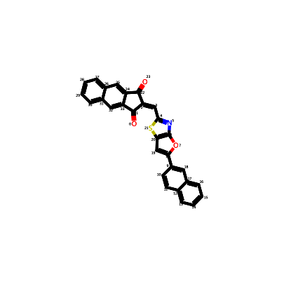 O=C1C(=Cc2nc3oc(-c4ccc5ccccc5c4)cc3s2)C(=O)c2cc3ccccc3cc21